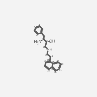 N[C@@H](Cc1ccccc1)[C@H](O)CNCCc1cccc2ccccc12